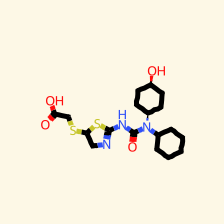 O=C(O)CSC1CN=C(NC(=O)N(C2CCCCC2)[C@H]2CC[C@H](O)CC2)S1